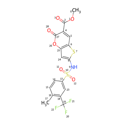 COC(=O)c1cc2sc(NS(=O)(=O)c3ccc(C)c(C(F)(F)F)c3)cc2oc1=O